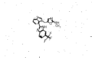 CNc1ncc(Cn2cnc3cccc(-c4nc5ccc(C(F)(F)F)cc5[nH]4)c32)o1